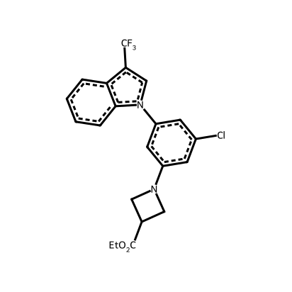 CCOC(=O)C1CN(c2cc(Cl)cc(-n3cc(C(F)(F)F)c4ccccc43)c2)C1